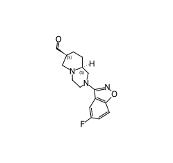 O=C[C@H]1CC[C@H]2CN(c3noc4ccc(F)cc34)CCN2C1